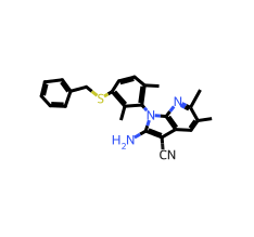 Cc1cc2c(C#N)c(N)n(-c3c(C)ccc(SCc4ccccc4)c3C)c2nc1C